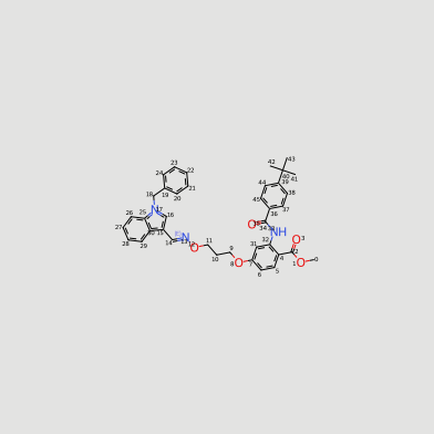 COC(=O)c1ccc(OCCCO/N=C/c2cn(Cc3ccccc3)c3ccccc23)cc1NC(=O)c1ccc(C(C)(C)C)cc1